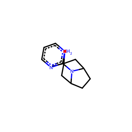 CC1(N)CC2CCC(C1)N2c1ncccn1